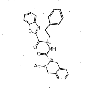 CC(=O)N1Cc2ccccc2C[C@H]1C(=O)N[C@@H](CCc1ccccc1)C(=O)c1nc2ccccc2o1